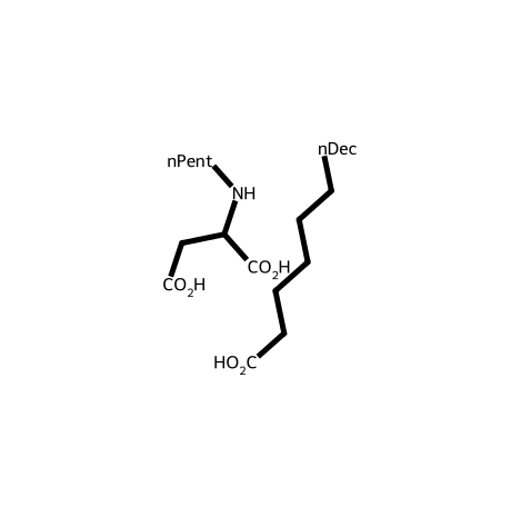 CCCCCCCCCCCCCCCC(=O)O.CCCCCNC(CC(=O)O)C(=O)O